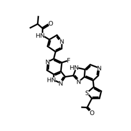 CC(=O)c1ccc(-c2cncc3[nH]c(-c4n[nH]c5cnc(-c6cncc(NC(=O)C(C)C)c6)c(F)c45)nc23)s1